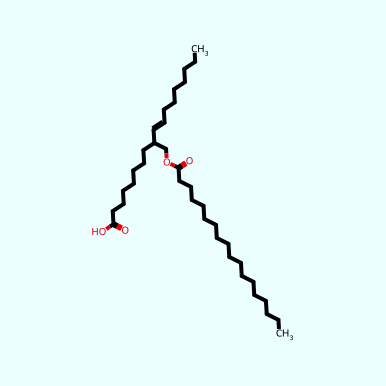 CCCCCCCC=CC(CCCCCCCC(=O)O)COC(=O)CCCCCCCCCCCCCCCCC